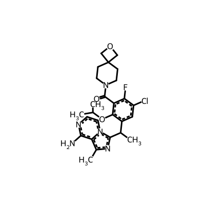 Cc1nc(C(C)c2cc(Cl)c(F)c(C(=O)N3CCC4(CC3)COC4)c2OC(C)C)n2ccnc(N)c12